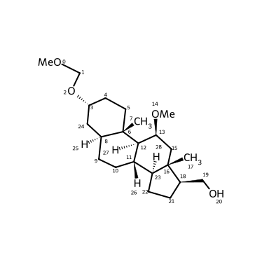 COCO[C@@H]1CC[C@@]2(C)[C@@H](CC[C@@H]3[C@@H]2[C@@H](OC)C[C@]2(C)[C@@H](CO)CC[C@@H]32)C1